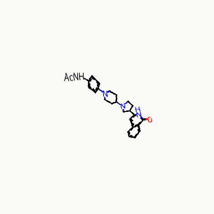 CC(=O)Nc1ccc(N2CCC(N3CCC(c4cc5ccccc5c(=O)[nH]4)C3)CC2)cc1